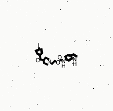 O=C(Nc1ccc2cc[nH]c2c1)OCCN1CCC(C(=O)c2ccc(I)cc2)CC1